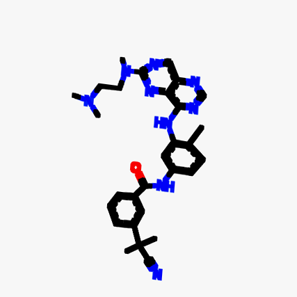 Cc1ccc(NC(=O)c2cccc(C(C)(C)C#N)c2)cc1Nc1ncnc2cnc(N(C)CCN(C)C)nc12